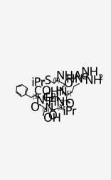 CC(=O)N[C@@H](CSC(C)C)C(=O)N[C@@H](CCCNC(=N)N)C(=O)N[C@H](C(=O)N[C@@H](CO)C(=O)N(C)[C@@H](Cc1ccccc1)C(=O)O)C(C)C